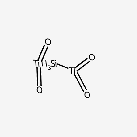 [O]=[Ti](=[O])[SiH3].[O]=[Ti]=[O]